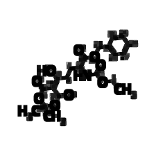 CCOC(=O)N[C@@H](CCC(O)=C1C(=O)OC(C)(C)OC1=O)C(=O)OCc1ccccc1